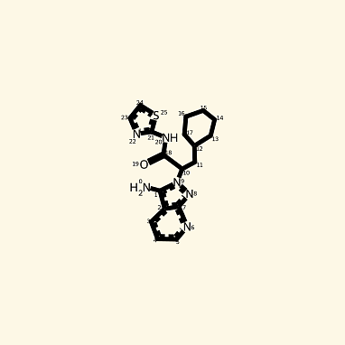 Nc1c2cccnc2nn1C(CC1CCCCC1)C(=O)Nc1nccs1